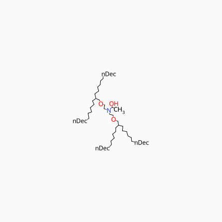 CCCCCCCCCCCCCCCCC(CCCCCCCCCCCCCCCC)COCCN(CCOCC(CCCCCCCCCCCCCCCC)CCCCCCCCCCCCCCCC)C(C)O